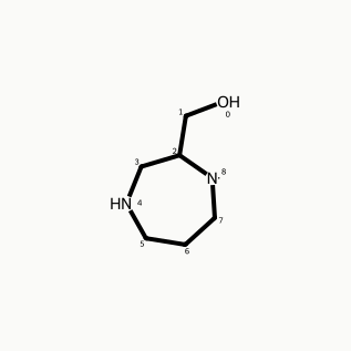 OCC1CNCCC[N]1